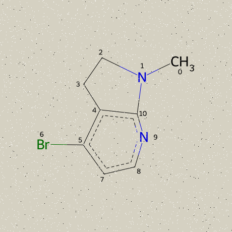 CN1CCc2c(Br)ccnc21